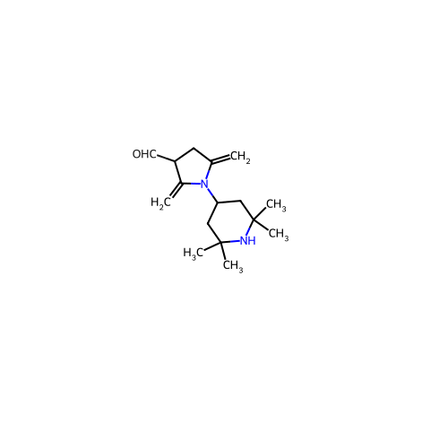 C=C1CC(C=O)C(=C)N1C1CC(C)(C)NC(C)(C)C1